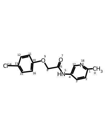 Cc1ccc(NC(=O)COc2ccc(Cl)cc2)cn1